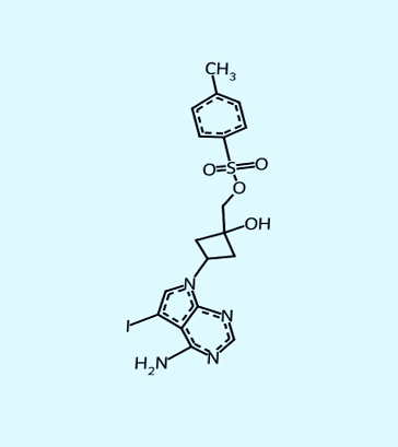 Cc1ccc(S(=O)(=O)OCC2(O)CC(n3cc(I)c4c(N)ncnc43)C2)cc1